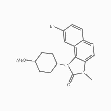 CO[C@H]1CC[C@H](n2c(=O)n(C)c3cnc4ccc(Br)cc4c32)CC1